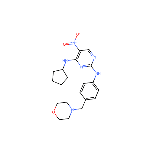 O=[N+]([O-])c1cnc(Nc2ccc(CN3CCOCC3)cc2)nc1NC1CCCC1